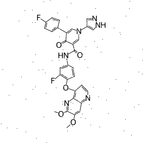 COc1cc2nccc(Oc3ccc(NC(=O)c4cn(-c5cn[nH]c5)cc(-c5ccc(F)cc5)c4=O)cc3F)c2nc1OC